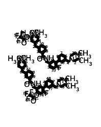 C[C@H]1CN(Cc2cccc(-c3cc(CNC(=O)c4cccc(CC5CC[N+](C)(C)CC5)c4)ccc3F)c2)CCN1C.C[C@H]1CN(Cc2cccc(-c3cc(CNC(=O)c4cccc(CC5CC[N+](C)(C)CC5)c4)ccc3F)c2)CCN1C.O=C([O-])C(F)(F)F.O=C([O-])C(F)(F)F